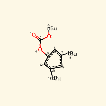 CCCCOC(=O)Oc1cc(C(C)(C)C)cc(C(C)(C)C)c1